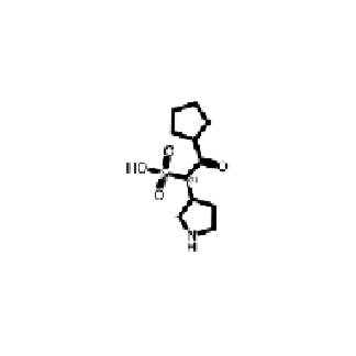 O=C(C1CCCC1)[C@@H](C1CCNC1)S(=O)(=O)O